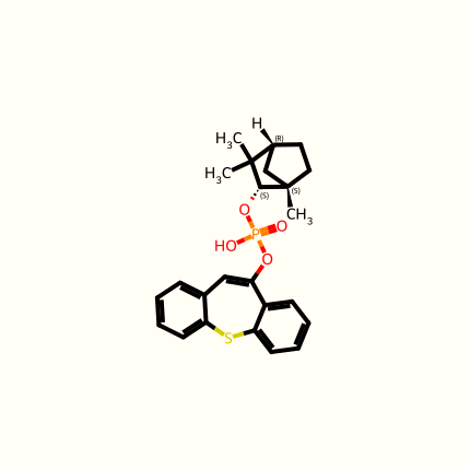 CC1(C)[C@@H]2CC[C@@](C)(C2)[C@@H]1OP(=O)(O)OC1=Cc2ccccc2Sc2ccccc21